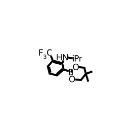 CC(C)Nc1c(B2OCC(C)(C)CO2)cccc1C(F)(F)F